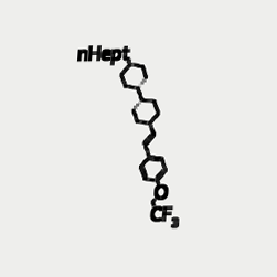 CCCCCCC[C@H]1CC[C@H]([C@H]2CC[C@H](C=Cc3ccc(OCC(F)(F)F)cc3)CC2)CC1